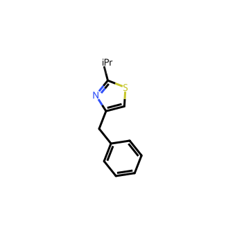 CC(C)c1nc(Cc2ccccc2)cs1